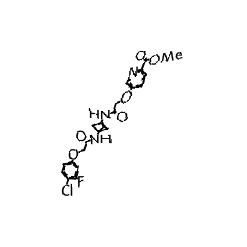 COC(=O)c1ccc(OCC(=O)NC23CC(NC(=O)COc4ccc(Cl)c(F)c4)(C2)C3)cn1